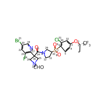 C[C@H](Oc1ccc(S(=O)(=O)C2CCN(C(=O)C3(c4ncc(Br)cc4F)CN(C=O)C3)C2)c(Cl)c1)C(F)(F)F